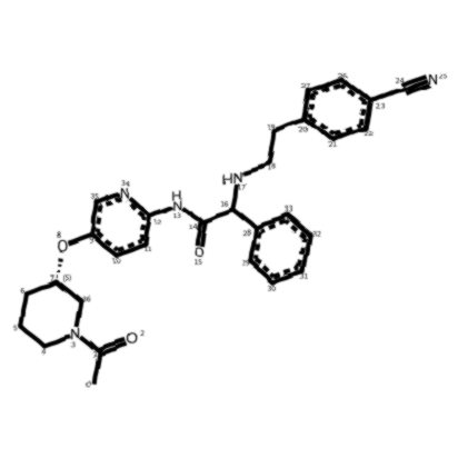 CC(=O)N1CCC[C@H](Oc2ccc(NC(=O)C(NCCc3ccc(C#N)cc3)c3ccccc3)nc2)C1